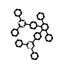 N/C(=N\C(=C/Cc1ccccc1)c1ccc(-c2c(-c3ccccc3)ccc(-c3ccccc3)c2-c2ccc(-c3nc(-c4ccccc4)nc(-c4ccccc4)n3)cc2)cc1)c1ccccc1